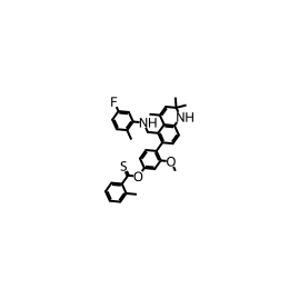 COc1cc(OC(=S)c2ccccc2C)ccc1-c1ccc2c(c1CNc1cc(F)ccc1C)C(C)=CC(C)(C)N2